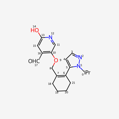 CC(C)n1nccc1C1=C(COc2cnc(O)cc2C=O)CCCC1